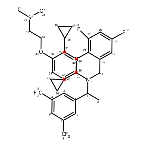 CC(c1cc(C(F)(F)F)cc(C(F)(F)F)c1)N(Cc1cc(F)cc(F)c1N(CC1CC1)CC1CC1)c1ncc(OCC[S+](C)[O-])cn1